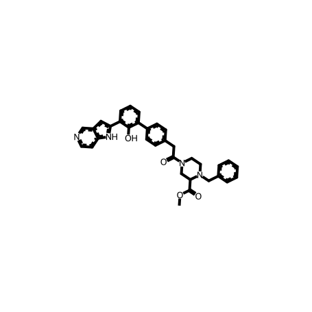 COC(=O)C1CN(C(=O)Cc2ccc(-c3cccc(-c4cc5cnccc5[nH]4)c3O)cc2)CCN1Cc1ccccc1